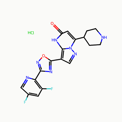 Cl.O=c1cc(C2CCNCC2)n2ncc(-c3nc(-c4ncc(F)cc4F)no3)c2[nH]1